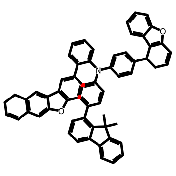 CC1(C)c2ccccc2-c2cccc(-c3ccc(N(c4ccc(C5CC=Cc6oc7ccccc7c65)cc4)c4ccccc4-c4ccc5oc6cc7c(cc6c5c4)CCC=C7)cc3)c21